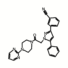 N#Cc1cccc(-c2cc(-c3ccccc3)n(CC(=O)N3CCN(c4ncccn4)CC3)n2)c1